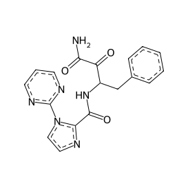 NC(=O)C(=O)C(Cc1ccccc1)NC(=O)c1nccn1-c1ncccn1